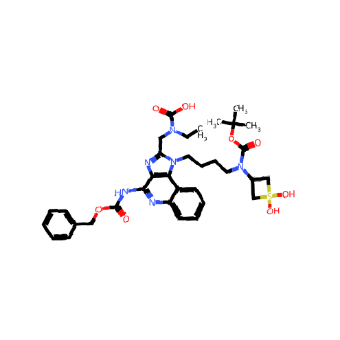 CCN(Cc1nc2c(NC(=O)OCc3ccccc3)nc3ccccc3c2n1CCCCN(C(=O)OC(C)(C)C)C1CS(O)(O)C1)C(=O)O